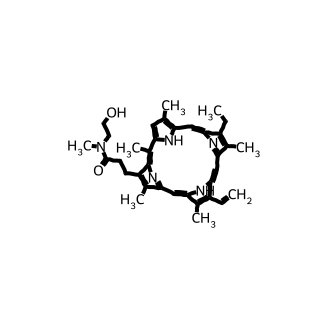 C=Cc1c(C)c2cc3nc(c(C)c4cc(C)c(cc5nc(cc1[nH]2)C(C)=C5CC)[nH]4)C(CCC(=O)N(C)CCO)=C3C